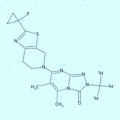 [2H]C([2H])([2H])n1nc2nc(N3CCc4nc(C5(F)CC5)sc4C3)c(C)c(C)n2c1=O